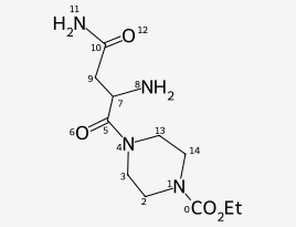 CCOC(=O)N1CCN(C(=O)C(N)CC(N)=O)CC1